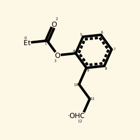 CCC(=O)Oc1ccccc1CC[C]=O